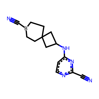 N#CB1CCC2(CC1)CC(Nc1ccnc(C#N)n1)C2